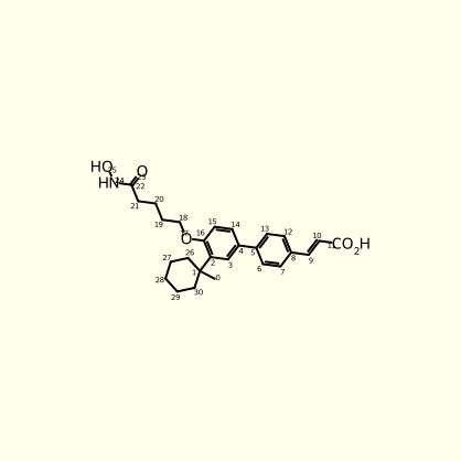 CC1(c2cc(-c3ccc(/C=C/C(=O)O)cc3)ccc2OCCCCC(=O)NO)CCCCC1